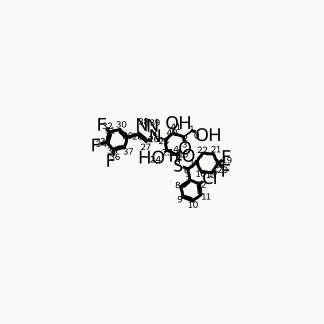 OC[C@H]1O[C@@H](SC(c2ccccc2Cl)C2(O)CCC(F)(F)CC2)[C@H](O)[C@@H](n2cc(-c3cc(F)c(F)c(F)c3)nn2)[C@H]1O